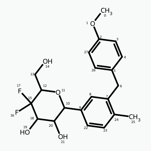 COc1ccc(Cc2cc(C3OC(CO)C(F)(F)C(O)C3O)ccc2C)cc1